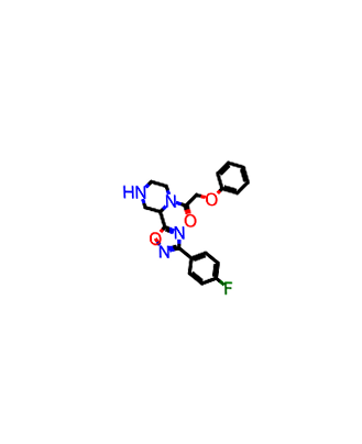 O=C(COc1ccccc1)N1CCNCC1c1nc(-c2ccc(F)cc2)no1